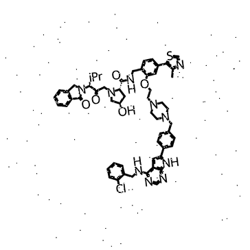 Cc1ncsc1-c1ccc(CNC(=O)[C@@H]2C[C@@H](O)CN2CC(=O)[C@H](C(C)C)N2Cc3ccccc3C2=O)c(OCCN2CCN(Cc3ccc(-c4cc5c(NCc6ccccc6Cl)ncnc5[nH]4)cc3)CC2)c1